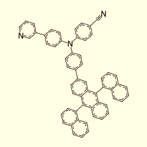 N#Cc1ccc(N(c2ccc(-c3cccnc3)cc2)c2ccc(-c3ccc4c(-c5cccc6ccccc56)c5ccccc5c(-c5cccc6ccccc56)c4c3)cc2)cc1